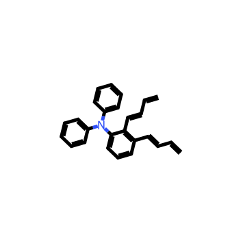 C=CC=Cc1cccc(N(c2ccccc2)c2ccccc2)c1C=CC=C